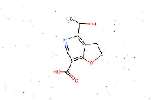 CC(O)c1ncc(C(=O)O)c2c1CCO2